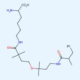 CC(C)CC(C)C(=O)NCCC(C)(C)OCCC(C)(C)C(=O)NCCCCC(N)C(=O)O